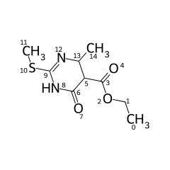 CCOC(=O)C1C(=O)NC(SC)=NC1C